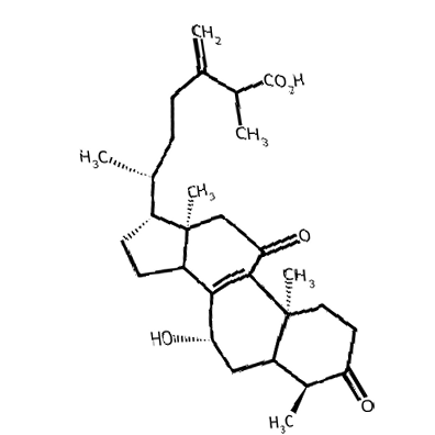 C=C(CC[C@@H](C)[C@H]1CCC2C3=C(C(=O)C[C@@]21C)[C@@]1(C)CCC(=O)[C@@H](C)C1C[C@@H]3O)C(C)C(=O)O